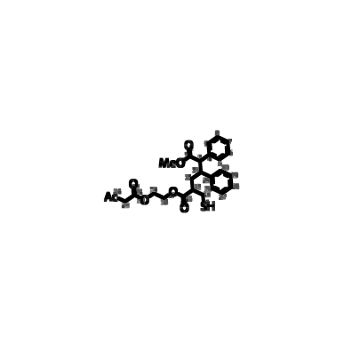 COC(=O)C(c1ccccc1)C(CC(CS)C(=O)OCCOC(=O)CC(C)=O)c1ccccc1